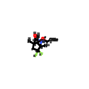 COCO[C@@H]1[C@@H]2CC(F)(F)[C@H]1NC2=O